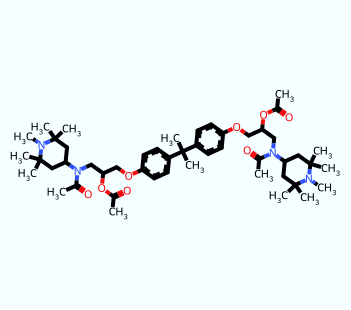 CC(=O)OC(COc1ccc(C(C)(C)c2ccc(OCC(CN(C(C)=O)C3CC(C)(C)N(C)C(C)(C)C3)OC(C)=O)cc2)cc1)CN(C(C)=O)C1CC(C)(C)N(C)C(C)(C)C1